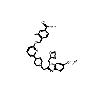 CCC(=O)c1ccc(COc2cccc(C3CCN(Cc4nc5ccc(C(=O)O)cc5n4CC4CCO4)CC3)n2)c(F)c1